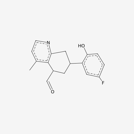 Cc1ccnc2c1C(C=O)CC(c1cc(F)ccc1O)C2